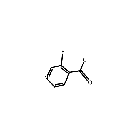 O=C(Cl)c1ccncc1F